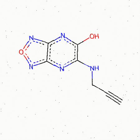 C#CCNc1nc2nonc2nc1O